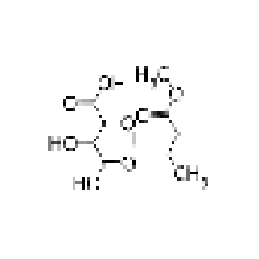 CCCC(=O)OC.O=C(O)C(O)C(O)C(=O)O